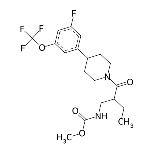 CCC(CNC(=O)OC)C(=O)N1CCC(c2cc(F)cc(OC(F)(F)F)c2)CC1